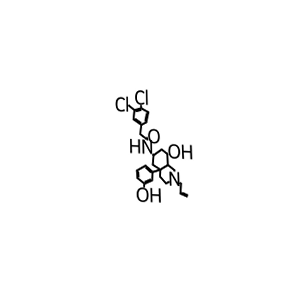 C=CCN1CCC2(c3cccc(O)c3)CC(NC(=O)Cc3ccc(Cl)c(Cl)c3)CC(O)C2C1